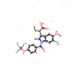 CCC(C(=O)O)c1c(C)n(C(=O)c2ccc(OC(F)(F)F)cc2)c2cc(Cl)c(OC)cc12